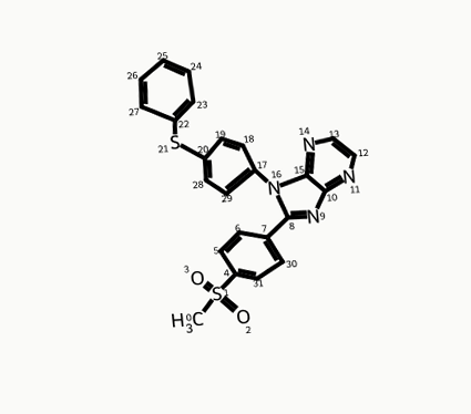 CS(=O)(=O)c1ccc(-c2nc3nccnc3n2-c2ccc(Sc3ccccc3)cc2)cc1